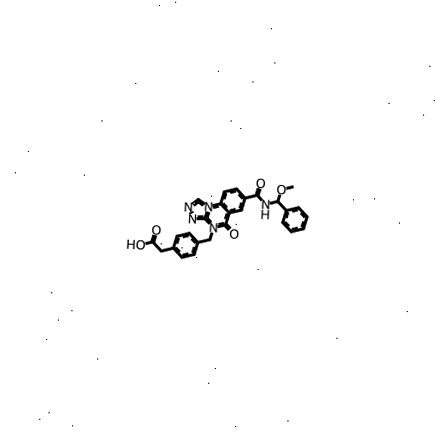 COC(NC(=O)c1ccc2c(c1)c(=O)n(Cc1ccc(CC(=O)O)cc1)c1nncn21)c1ccccc1